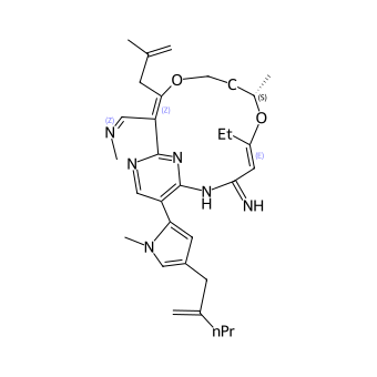 C=C(C)C/C1=C(\C=N/C)c2ncc(-c3cc(CC(=C)CCC)cn3C)c(n2)NC(=N)/C=C(\CC)O[C@@H](C)CCO1